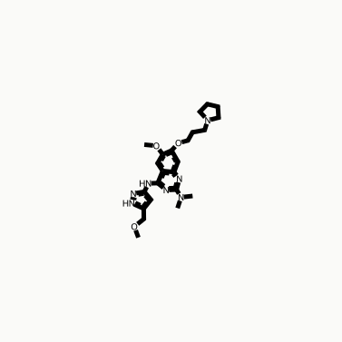 COCc1cc(Nc2nc(N(C)C)nc3cc(OCCCN4CCCC4)c(OC)cc23)n[nH]1